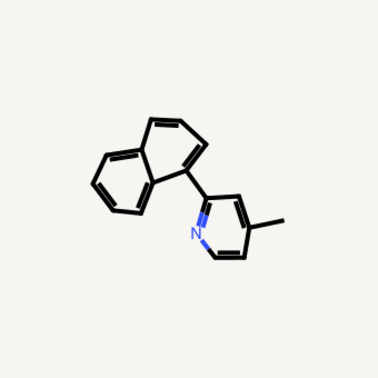 Cc1ccnc(-c2cccc3ccccc23)c1